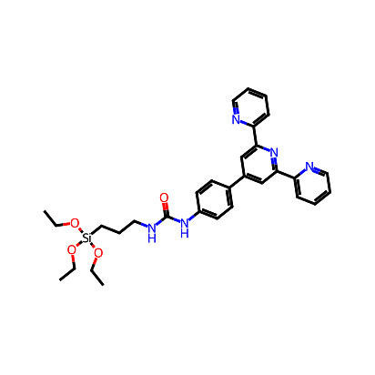 CCO[Si](CCCNC(=O)Nc1ccc(-c2cc(-c3ccccn3)nc(-c3ccccn3)c2)cc1)(OCC)OCC